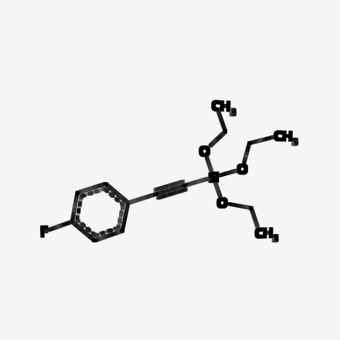 CCO[Si](C#Cc1ccc(F)cc1)(OCC)OCC